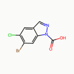 O=C(O)n1ncc2cc(Cl)c(Br)cc21